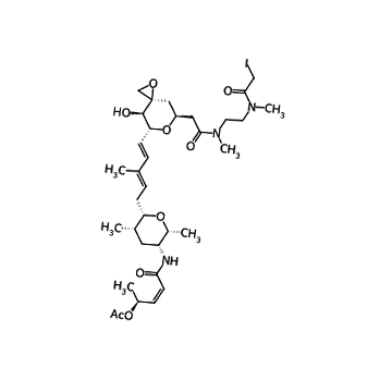 CC(=O)O[C@@H](C)/C=C\C(=O)N[C@@H]1C[C@H](C)[C@H](C/C=C(C)/C=C/[C@H]2O[C@H](CC(=O)N(C)CCN(C)C(=O)CI)C[C@@]3(CO3)[C@@H]2O)O[C@@H]1C